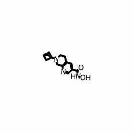 O=C(NO)c1cnc2c(c1)CCN(C13CC(C1)C3)C2